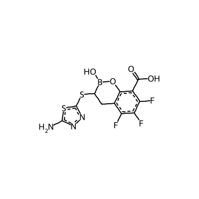 Nc1nnc(SC2Cc3c(F)c(F)c(F)c(C(=O)O)c3OB2O)s1